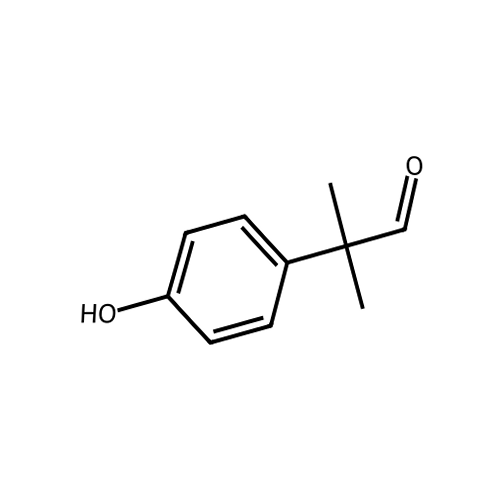 CC(C)(C=O)c1ccc(O)cc1